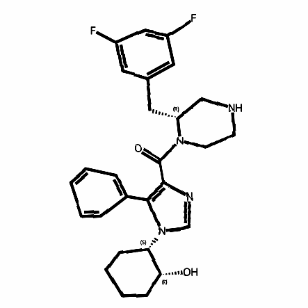 O=C(c1ncn([C@H]2CCCC[C@H]2O)c1-c1ccccc1)N1CCNC[C@H]1Cc1cc(F)cc(F)c1